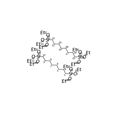 CCO[Si](CCCCCCCC[Si](OCC)(OCC)OCC)(OCC)OCC.CCO[Si](CCCCCCCC[Si](OCC)(OCC)OCC)(OCC)OCC